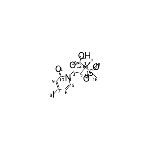 C[C@@](CCn1ccc(I)cc1=O)(C(=O)O)S(C)(=O)=O